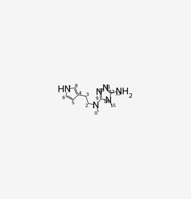 CN(CCc1cc[nH]c1)c1nnc(N)n1C